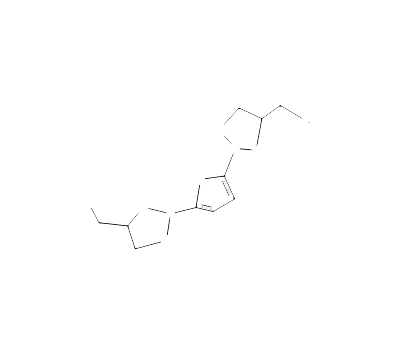 SCC1COB(c2ccc(B3OCC(CS)O3)s2)O1